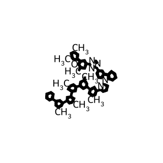 Cc1cc(-c2ccccc2)cc(-c2cc(C)cc(-c3cc(C)cc(-c4cc(C)cc(-c5cc(C)cc(-c6cccc(-n7c8ccccc8c8cc(-c9ncnc(-c%10cc(C)c%11oc%12c(C)cc(C)cc%12c%11c%10)n9)ccc87)n6)c5)c4)c3)c2)c1